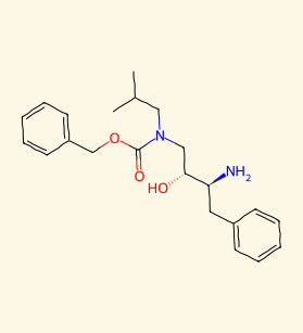 CC(C)CN(C[C@@H](O)[C@@H](N)Cc1ccccc1)C(=O)OCc1ccccc1